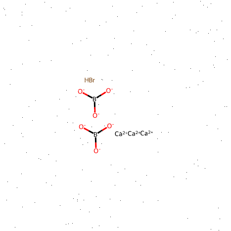 Br.[Ca+2].[Ca+2].[Ca+2].[O-]B([O-])[O-].[O-]B([O-])[O-]